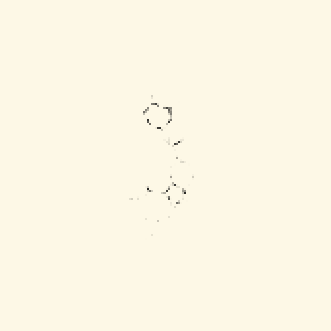 Cc1cc(NC(=O)N2Cc3c(nn4c3C(=O)N(C)OC(CF)C4)C[C@H]2C)ccc1F